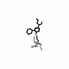 CCCC(CC)c1ccc(OCCC[Si](N=C=S)(N=C=S)N=C=S)c(C2CCCCC2)c1